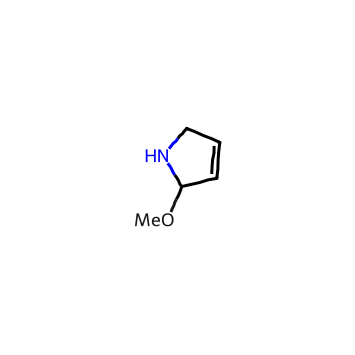 COC1C=CCN1